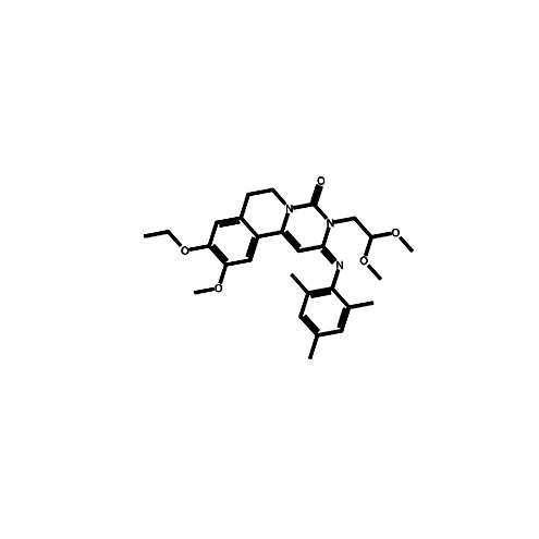 CCOc1cc2c(cc1OC)-c1c/c(=N\c3c(C)cc(C)cc3C)n(CC(OC)OC)c(=O)n1CC2